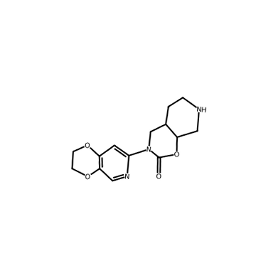 O=C1OC2CNCCC2CN1c1cc2c(cn1)OCCO2